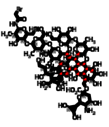 CC1C(O)[C@H](O[C@@H]2OC(CO[C@]3(C(=O)O)C[C@@H](O)[C@@H](N)C([C@H](O)[C@H](O)CO)O3)[C@H](O)C(O)[C@@H]2O)[C@H](CO)O[C@H]1O[C@@H]1C(O)[C@H](O)C(CO)O[C@@H]1OCC1O[C@@H](O[C@@H]2C(CO)O[C@@H](O[C@@H]3C(CO)O[C@@H](NC(=O)CBr)[C@@H](C)C3O)[C@@H](C)C2O)[C@H](O)C(O[C@H]2O[C@H](CO)[C@@H](O)C(O)C2O[C@@H]2OC(CO)[C@@H](O[C@@H]3OC(CO[C@]4(C(=O)O)C[C@@H](O)[C@@H](N)C(C5C(O)[C@H]5O)O4)[C@H](O)C(O)[C@@H]3O)C(O)[C@@H]2C)[C@@H]1O